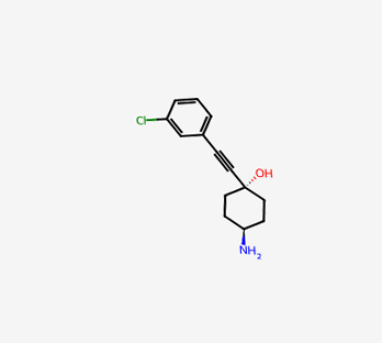 N[C@H]1CC[C@@](O)(C#Cc2cccc(Cl)c2)CC1